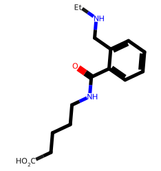 CCNCc1ccccc1C(=O)NCCCCC(=O)O